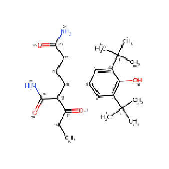 CC(C)(C)c1cccc(C(C)(C)C)c1O.CCC(=O)C(CCCC(N)=O)C(N)=O